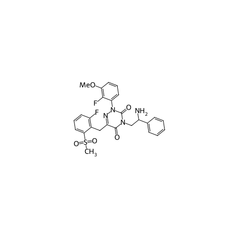 COc1cccc(-n2nc(Cc3c(F)cccc3S(C)(=O)=O)c(=O)n(CC(N)c3ccccc3)c2=O)c1F